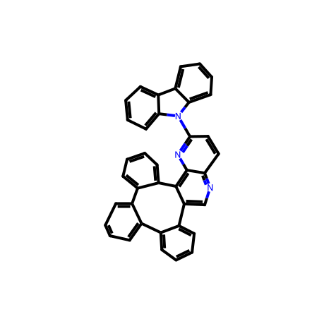 c1ccc2c(c1)-c1ccccc1-c1cnc3ccc(-n4c5ccccc5c5ccccc54)nc3c1-c1ccccc1-2